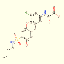 CCCCNS(=O)(=O)c1cc(Oc2c(C)cc(NC(=O)C(=O)O)cc2Cl)ccc1O